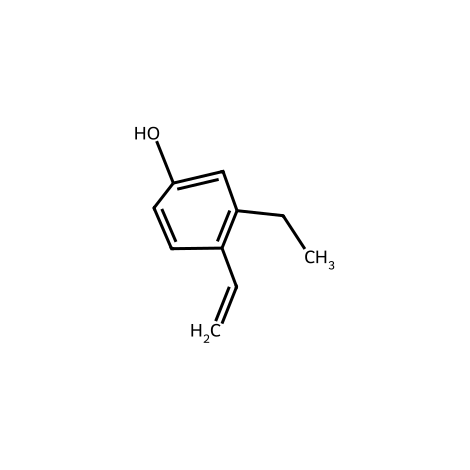 C=Cc1ccc(O)cc1CC